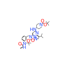 C=CC(=O)Nc1cccc(CN(C(=O)OC(C)(C)C)c2cc(NC3CCN(C(=O)OC(C)(C)C)CC3)nc3c(C(C)C)cnn23)c1